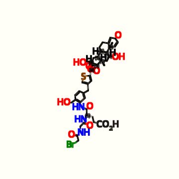 C[C@]12C=CC(=O)C=C1CC[C@@H]1[C@@H]2[C@@H](O)C[C@@]2(C)[C@H]1C[C@H]1O[C@@H](c3cc(Cc4ccc(CO)c(NC(=O)[C@H](CCC(=O)O)NC(=O)CNC(=O)CBr)c4)cs3)O[C@]12C(=O)CO